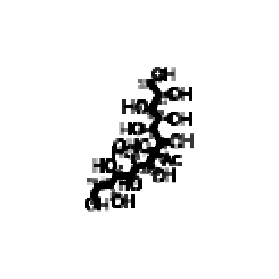 CC(=O)C([C]=O)(C(O)[C@H](O)[C@@H](O)[C@H](O)[C@H](O)CO)C(O)[C@H](O)[C@@H](O)[C@H](O)[C@H](O)CO